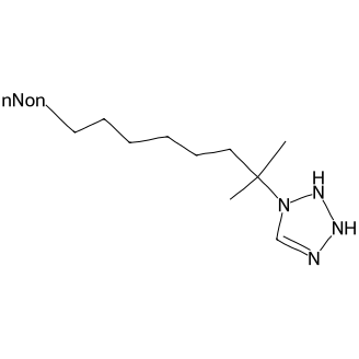 CCCCCCCCCCCCCCCC(C)(C)N1C=NNN1